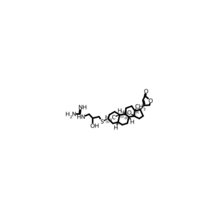 C[C@]12CC[C@H](SCC(O)CNC(=N)N)C[C@H]1CC[C@@H]1[C@@H]2CC[C@]2(C)[C@@H](C3=CC(=O)OC3)CC[C@]12O